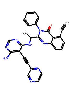 C#Cc1cccc2nc(C(C)Nc3ncnc(N)c3C#Cc3cnccn3)n(-c3ccccc3)c(=O)c12